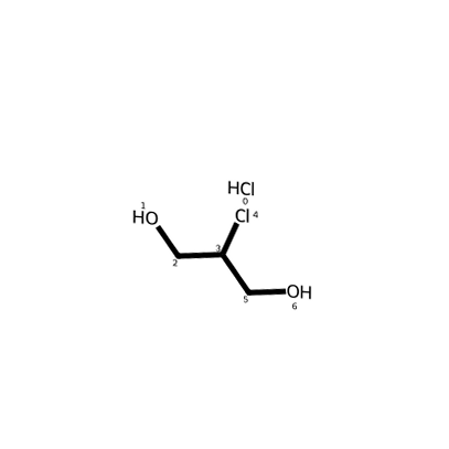 Cl.OCC(Cl)CO